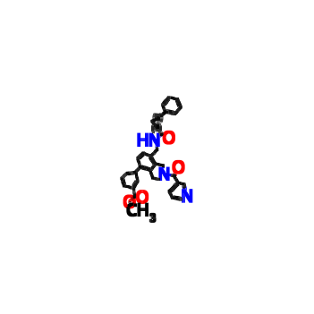 COC(=O)c1cccc(-c2ccc(CNC(=O)[C@@H]3C[C@H]3c3ccccc3)c3c2CCN(C(=O)c2cccnc2)C3)c1